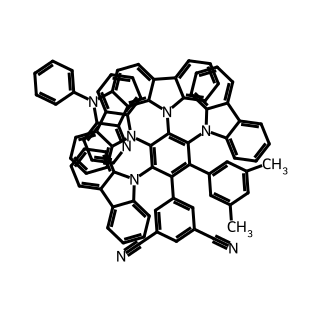 Cc1cc(C)cc(-c2c(-c3cc(C#N)cc(C#N)c3)c(-n3c4ccccc4c4ccccc43)c(-n3c4ccccc4c4ccccc43)c(-n3c4ccccc4c4ccc5c(c6ncccc6n5-c5ccccc5)c43)c2-n2c3ccccc3c3ccccc32)c1